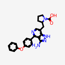 Nc1n[nH]c2c(CC3CCCN3C(=O)O)cnc(-c3ccc(Oc4ccccc4)cc3)c12